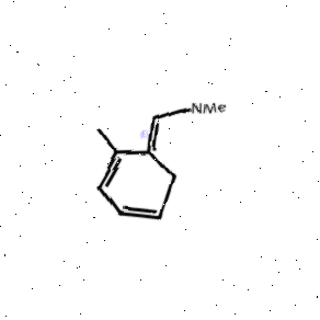 CN/C=C1\CC=CC=C1C